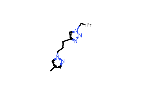 Cc1cnn(CCCc2cn(CC(C)C)nn2)c1